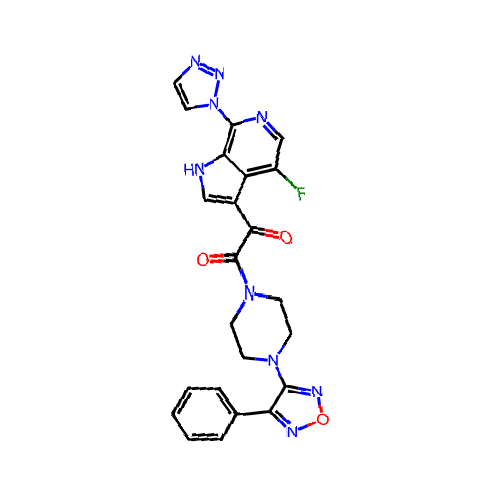 O=C(C(=O)N1CCN(c2nonc2-c2ccccc2)CC1)c1c[nH]c2c(-n3ccnn3)ncc(F)c12